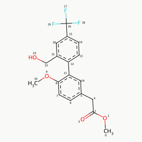 COC(=O)Cc1ccc(OC)c(-c2ccc(C(F)(F)F)cc2CO)c1